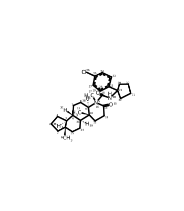 C[C@@]12CCC[C@H]1[C@@H]1CC[C@@H]3[C@](C)(CCC(=O)[N+]3(C)C(=O)NC3(c4ccc(Cl)cc4)CCCC3)[C@H]1CC2